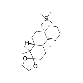 CC1(C)[C@@H]2CC[C@@]3(C[Si](C)(C)C)CCCC=C3[C@@]2(C)CCC12OCCO2